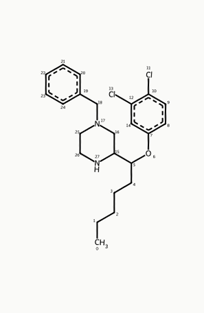 CCCCCC(Oc1ccc(Cl)c(Cl)c1)C1CN(Cc2ccccc2)CCN1